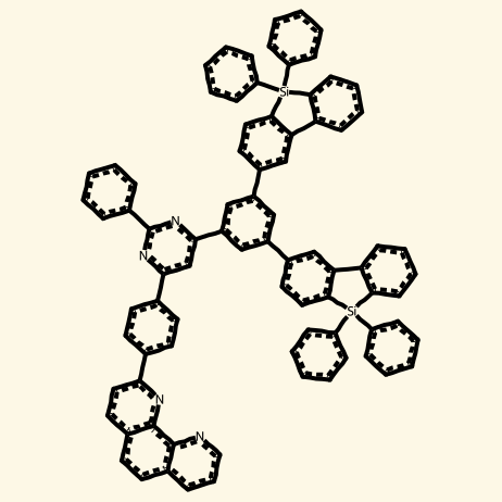 c1ccc(-c2nc(-c3ccc(-c4ccc5ccc6cccnc6c5n4)cc3)cc(-c3cc(-c4ccc5c(c4)-c4ccccc4[Si]5(c4ccccc4)c4ccccc4)cc(-c4ccc5c(c4)-c4ccccc4[Si]5(c4ccccc4)c4ccccc4)c3)n2)cc1